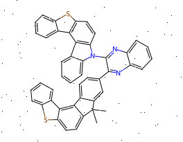 CC1(C)c2cc(-c3nc4ccccc4nc3-n3c4ccccc4c4c5c(ccc43)sc3ccccc35)ccc2-c2c1ccc1sc3ccccc3c21